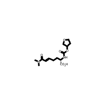 CN(C)C(=O)/C=C/CC[C@H](NC(=O)OC1CCOC1)C(=O)O